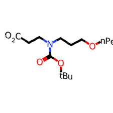 CCCCCOCCCN(CCC(=O)O)C(=O)OC(C)(C)C